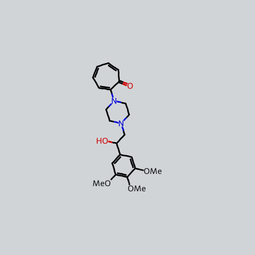 COc1cc(C(O)CN2CCN(c3cccccc3=O)CC2)cc(OC)c1OC